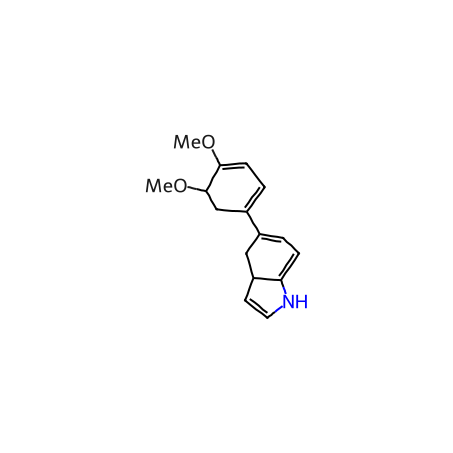 COC1=CC=C(C2=CC=C3NC=CC3C2)CC1OC